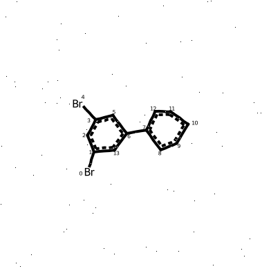 Brc1cc(Br)cc(-c2ccccc2)c1